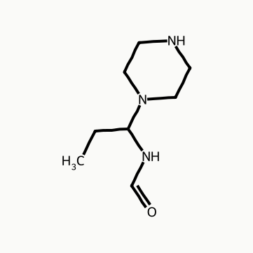 CCC(NC=O)N1CCNCC1